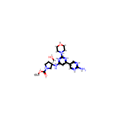 CC(C)(C)OC(=O)N1CC[C@@](CO)(Nc2cc(-c3cnc(N)nc3)nc(N3CCOCC3)n2)C1